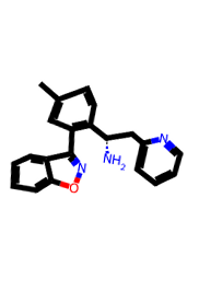 Cc1ccc([C@@H](N)Cc2ccccn2)c(-c2noc3ccccc23)c1